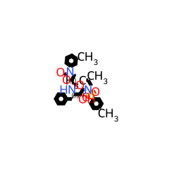 Cc1ccc(S(=O)(=O)N(CC(C)C)C[C@@H](O)[C@H](Cc2ccccc2)NC(=O)[C@@H]2CN(c3cccc(C)c3)C(=O)O2)cc1